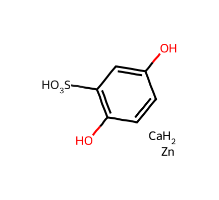 O=S(=O)(O)c1cc(O)ccc1O.[CaH2].[Zn]